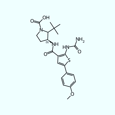 COc1ccc(-c2cc(C(=O)N[C@H]3CCN(C(=O)O)C3C(C)(C)C)c(NC(N)=O)s2)cc1